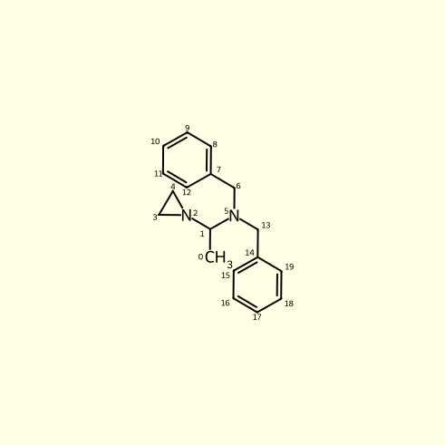 CC(N1CC1)N(Cc1ccccc1)Cc1ccccc1